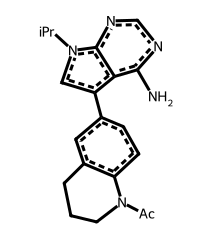 CC(=O)N1CCCc2cc(-c3cn(C(C)C)c4ncnc(N)c34)ccc21